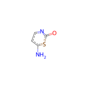 Nc1ccnc(=O)s1